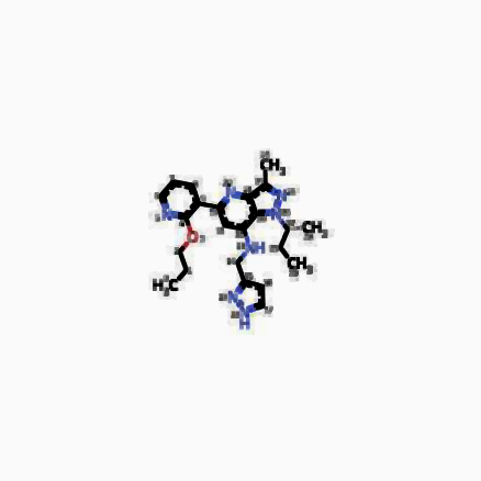 CCCOc1ncccc1-c1cc(NCc2cc[nH]n2)c2c(n1)c(C)nn2[C@H](C)CC